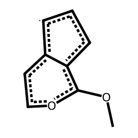 COc1occc2[c]ccc1-2